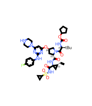 C=C[C@@H]1C[C@]1(NC(=O)[C@@H]1C[C@@H](Oc2cc(N3CCNCC3)nc(Nc3ccc(F)cc3)n2)CN1C(=O)[C@@H](NC(=O)OC1CCCC1)C(C)(C)C)C(=O)NS(=O)(=O)C1CC1